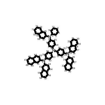 c1ccc(N(c2ccc(N(c3ccc(N(c4ccc5ccccc5c4)c4ccc5ccccc5c4)cc3)c3ccc(N(c4ccc5ccccc5c4)c4ccc5ccccc5c4)cc3)cc2)c2ccc3ccccc3c2)cc1